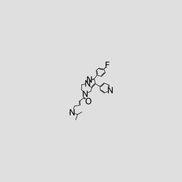 CC(C)N(C)C/C=C/C(=O)N1CCn2nc(-c3ccc(F)cc3)c(-c3ccncc3)c2C1